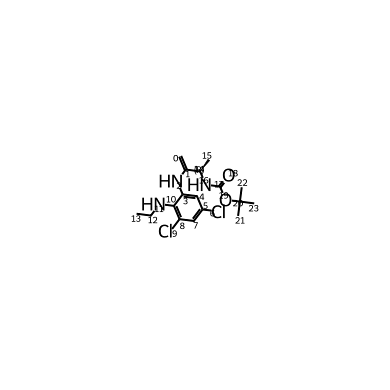 C=C(Nc1cc(Cl)cc(Cl)c1NCC)[C@@H](C)NC(=O)OC(C)(C)C